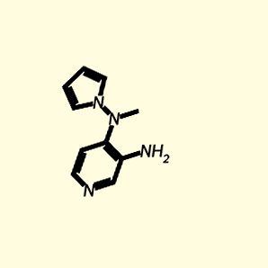 CN(c1ccncc1N)n1cccc1